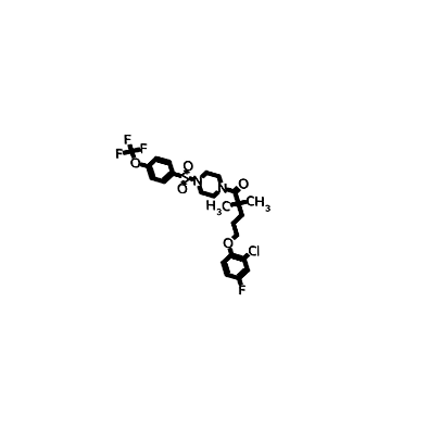 CC(C)(CCCOc1ccc(F)cc1Cl)C(=O)N1CCN(S(=O)(=O)c2ccc(OC(F)(F)F)cc2)CC1